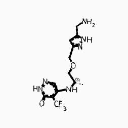 C[C@@H](COCc1cc(CN)[nH]n1)Nc1cn[nH]c(=O)c1C(F)(F)F